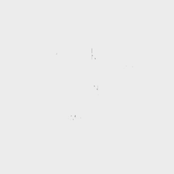 [CH2]Oc1cccc2[nH]c(Cl)nc12